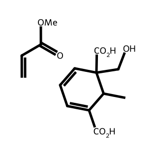 C=CC(=O)OC.CC1C(C(=O)O)=CC=CC1(CO)C(=O)O